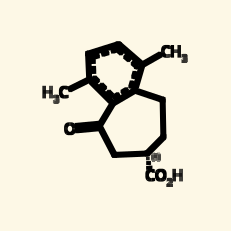 Cc1ccc(C)c2c1CC[C@H](C(=O)O)CC2=O